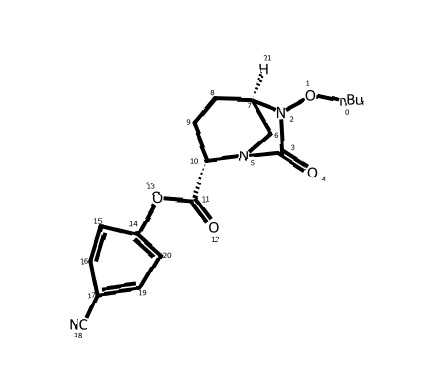 CCCCON1C(=O)N2C[C@H]1CC[C@H]2C(=O)Oc1ccc(C#N)cc1